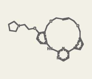 C1=C/COCc2cc(ccc2OCCN2CCCC2)Nc2nccc(n2)-c2ccc(s2)COC/1